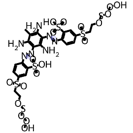 Cc1c(N)c(/N=N/c2ccc(S(=O)(=O)CCOSOOO)cc2S(=O)(=O)O)c(N)c(/N=N/c2ccc(S(=O)(=O)CCOSOOO)cc2S(=O)(=O)O)c1N